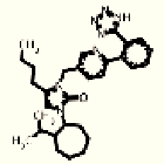 CCCCc1cn(C2CCCCCC2C(C)C)c(=O)n1Cc1ccc(-c2ccccc2-c2nnn[nH]2)nc1